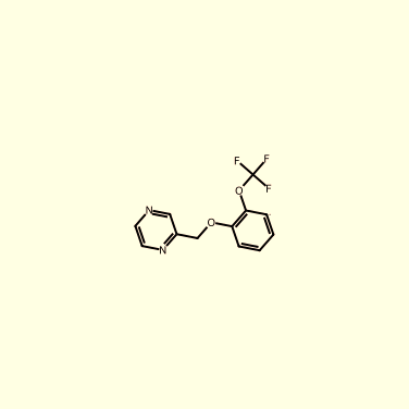 FC(F)(F)Oc1[c]cccc1OCc1cnccn1